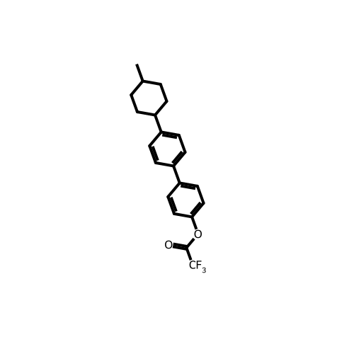 CC1CCC(c2ccc(-c3ccc(OC(=O)C(F)(F)F)cc3)cc2)CC1